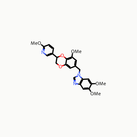 COc1ccc(C2COc3cc(Cn4cnc5cc(OC)c(OC)cc54)cc(OC)c3O2)cn1